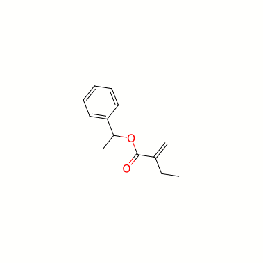 C=C(CC)C(=O)OC(C)c1ccccc1